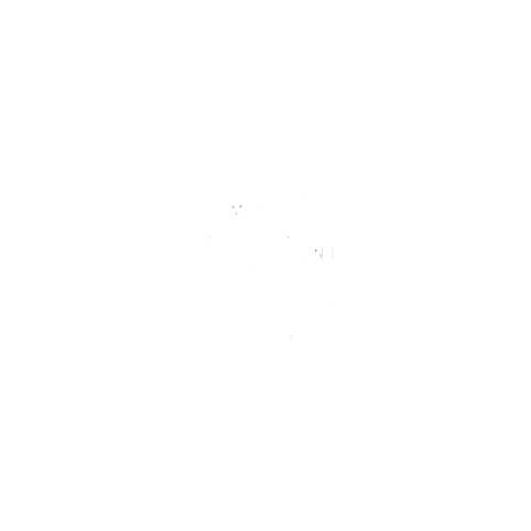 COC1(Cl)NC=CC=C1Cl